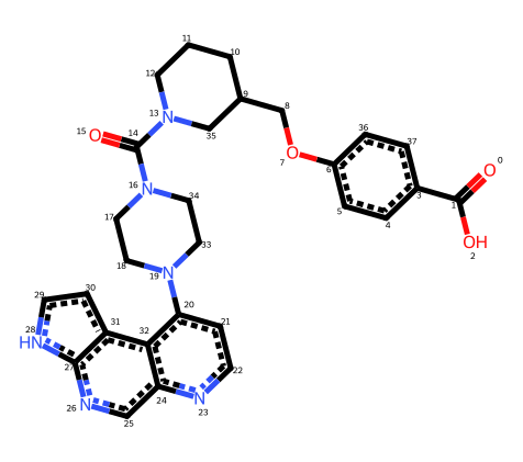 O=C(O)c1ccc(OCC2CCCN(C(=O)N3CCN(c4ccnc5cnc6[nH]ccc6c45)CC3)C2)cc1